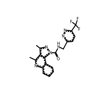 Cc1nc2ccccc2c2c1c(C)nn2C(=O)NCc1ccc(C(F)(F)F)nn1